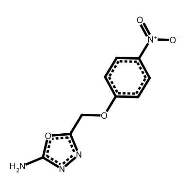 Nc1nnc(COc2ccc([N+](=O)[O-])cc2)o1